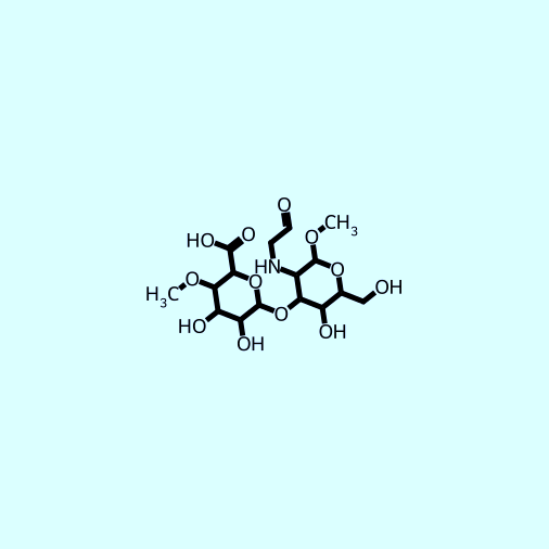 COC1OC(CO)C(O)C(OC2OC(C(=O)O)C(OC)C(O)C2O)C1NCC=O